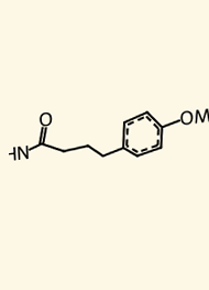 COc1ccc(CCCC([NH])=O)cc1